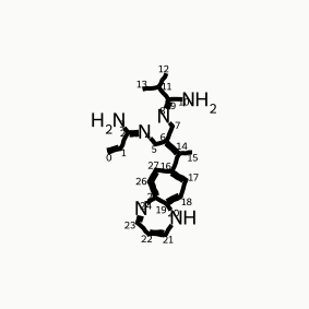 C=C/C(N)=N\C/C(C/N=C(\N)C(C)C)=C(/C)C1=CC=C2NC=CC=NC2=C=C1